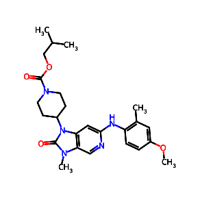 COc1ccc(Nc2cc3c(cn2)n(C)c(=O)n3C2CCN(C(=O)OCC(C)C)CC2)c(C)c1